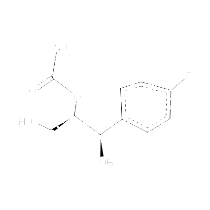 CC[C@@H](OC(N)=O)[C@H](O)c1ccc(F)cc1